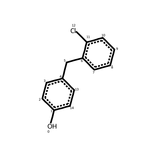 Oc1ccc(Cc2c[c]ccc2Cl)cc1